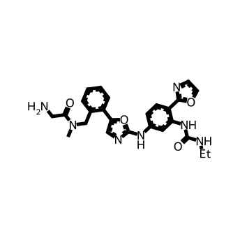 CCNC(=O)Nc1cc(Nc2ncc(-c3ccccc3CN(C)C(=O)CN)o2)ccc1-c1ncco1